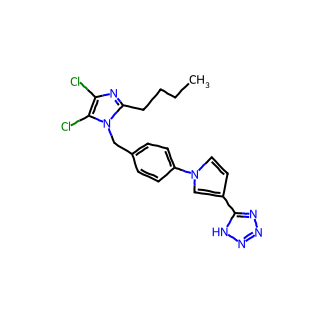 CCCCc1nc(Cl)c(Cl)n1Cc1ccc(-n2ccc(-c3nnn[nH]3)c2)cc1